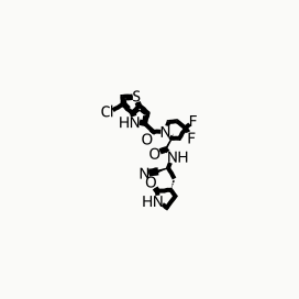 N#C[C@H](C[C@@H]1CCNC1=O)NC(=O)[C@@H]1CC(F)(F)CCN1C(=O)c1cc2scc(Cl)c2[nH]1